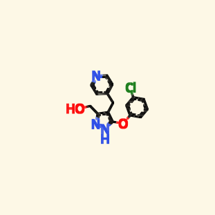 OCc1n[nH]c(Oc2cccc(Cl)c2)c1Cc1ccncc1